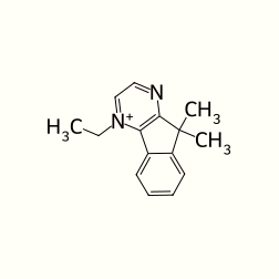 CC[n+]1ccnc2c1-c1ccccc1C2(C)C